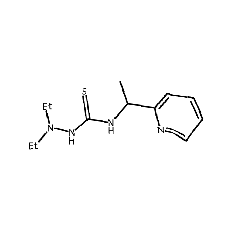 CCN(CC)NC(=S)NC(C)c1ccccn1